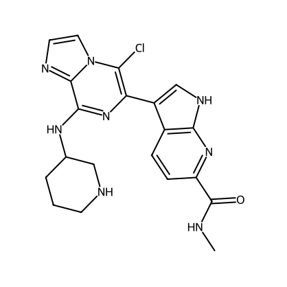 CNC(=O)c1ccc2c(-c3nc(NC4CCCNC4)c4nccn4c3Cl)c[nH]c2n1